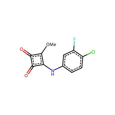 COc1c(Nc2ccc(Cl)c(F)c2)c(=O)c1=O